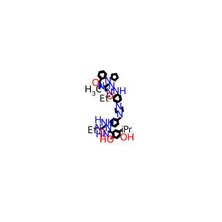 CCNC(=O)C(=N)N(C(=N)c1cc(C(C)C)c(O)cc1O)c1ccc(CN2CCN(c3ccc(Nc4ncc5c(n4)N(C4CCCC4)c4ccccc4C(=O)N5C)c(OCC)c3)CC2)cc1